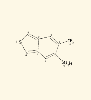 O=S(=O)(O)c1cc2cscc2cc1C(F)(F)F